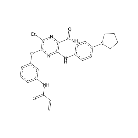 C=CC(=O)Nc1cccc(Oc2nc(Nc3ccc(N4CCCC4)cc3)c(C(N)=O)nc2CC)c1